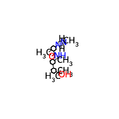 Cc1ccc(N2C[C@H]3C[C@@H]2CN3C)cc1C(=O)N[C@H](C)c1cccc(-c2cccc(C(C)(C)O)c2)c1